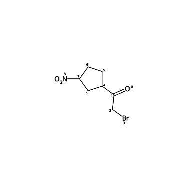 O=C(CBr)C1CCC([N+](=O)[O-])C1